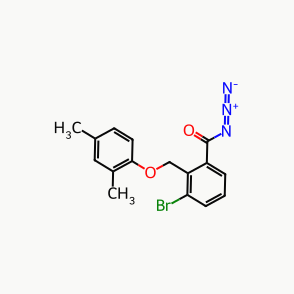 Cc1ccc(OCc2c(Br)cccc2C(=O)N=[N+]=[N-])c(C)c1